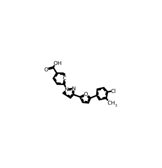 Cc1cc(-c2ccc(-c3ccn(-c4ccc(C(=O)O)cc4)n3)o2)ccc1Cl